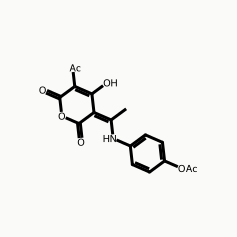 CC(=O)Oc1ccc(N/C(C)=C2\C(=O)OC(=O)C(C(C)=O)=C2O)cc1